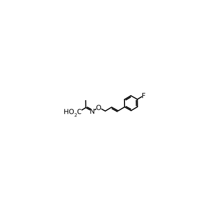 CC(=NOCC=Cc1ccc(F)cc1)C(=O)O